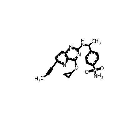 CC#Cc1ccc2nc(NC(C)c3ccc(S(N)(=O)=O)cc3)nc(OC3CC3)c2n1